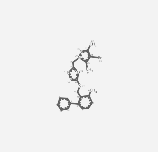 Cc1cccc(-c2ccccc2)c1CSc1nnc(Cn2nc(C)c(Br)c2C)o1